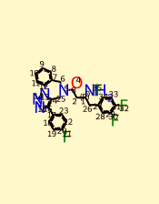 N[C@@H](CC(=O)N1Cc2ccccc2-n2nnc(-c3ccc(F)cc3)c2C1)Cc1cc(F)c(F)cc1F